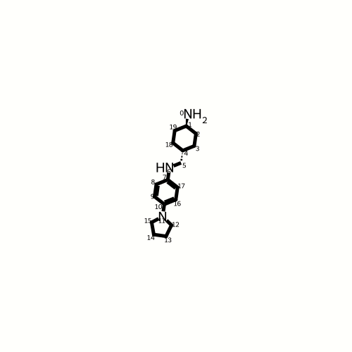 N[C@H]1CC[C@H](CNc2ccc(N3CCCC3)cc2)CC1